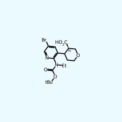 CCN(C(=O)OC(C)(C)C)c1ncc(Br)cc1C1CCOC[C@@H]1C(=O)O